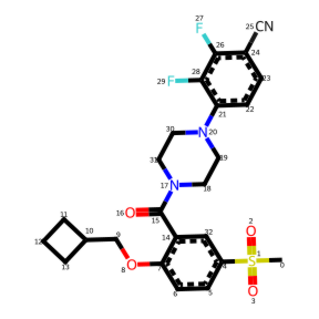 CS(=O)(=O)c1ccc(OCC2CCC2)c(C(=O)N2CCN(c3ccc(C#N)c(F)c3F)CC2)c1